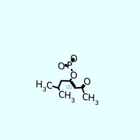 CC(=O)/C=C(/CC(C)C)OP(=O)=O